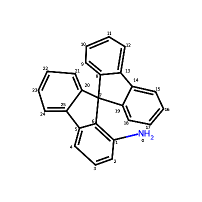 Nc1cccc2c1C1(c3ccccc3-c3ccccc31)c1ccccc1-2